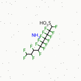 N.O=S(=O)(O)C(F)C(F)(F)C(F)(F)C(F)(F)C(F)(F)C(F)(F)C(F)C(F)C(F)C(F)F